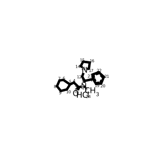 CN(C(=O)CC1CCCCC1)C(CN1CCCC1)c1ccccc1.Cl